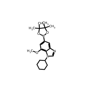 COc1cc(B2OC(C)(C)C(C)(C)O2)cc2ncn(C3CCCCC3)c12